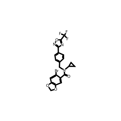 O=C(c1cc2c(cc1Br)OCO2)N(Cc1ccc(-c2noc(C(F)(F)F)n2)cc1)C1CC1